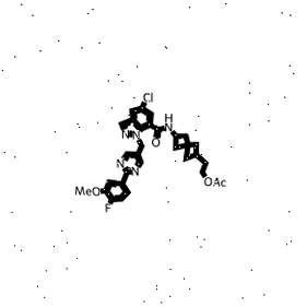 COc1cc(-c2ncc(Cn3ncc4cc(Cl)cc(C(=O)NC5CC6(CC(CCOC(C)=O)C6)C5)c43)cn2)ccc1F